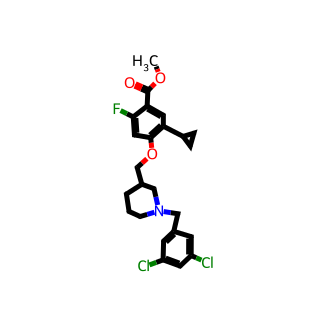 COC(=O)c1cc(C2CC2)c(OCC2CCCN(Cc3cc(Cl)cc(Cl)c3)C2)cc1F